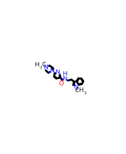 CN1CCN(c2ccc(C(=O)NCCc3cn(C)c4ccccc34)cn2)CC1